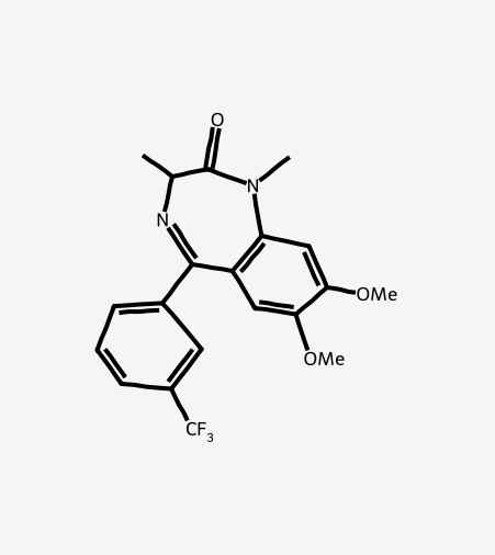 COc1cc2c(cc1OC)N(C)C(=O)C(C)N=C2c1cccc(C(F)(F)F)c1